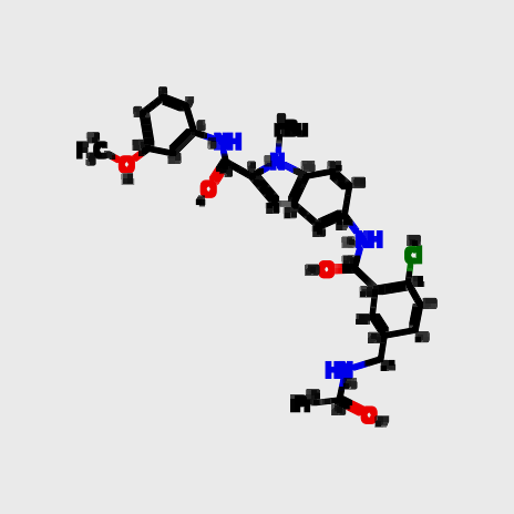 CCCCn1c(C(=O)Nc2cccc(OC(F)(F)F)c2)cc2cc(NC(=O)c3cc(CNC(=O)C(C)C)ccc3Cl)ccc21